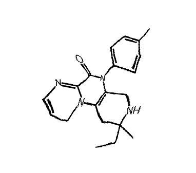 CCC1(C)CC2=C(CN1)N(c1ccc(C)cc1)C(=O)C1=NC=CCN12